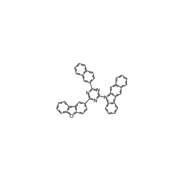 c1ccc2cc(-c3nc(-c4ccc5oc6ccccc6c5c4)nc(-n4c5ccccc5c5cc6ccccc6cc54)n3)ccc2c1